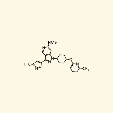 CNc1cc2c(cn1)c(-c1cnn(C)c1)nn2C1CCC(Oc2cccc(C(F)(F)F)n2)CC1